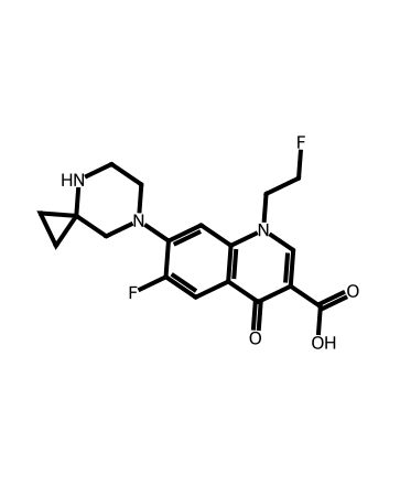 O=C(O)c1cn(CCF)c2cc(N3CCNC4(CC4)C3)c(F)cc2c1=O